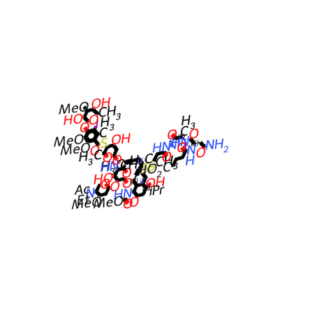 CC#C/C=C\C#C[C@H](OC1OC(C)C(NOC2CC(O)C(SC(=O)c3c(C)c(I)c(OC4OC(C)C(O)C(OC)C4O)c(OC)c3OC)C(C)O2)C(O)C1OC1CC(OC)C(N(CC)C(C)=O)CO1)C1/C(=C\CSSC(C)(C)CC(=O)NNC(=O)[C@H](C)NC(=O)[C@H](CC(N)=O)NC(=O)CCCC(=O)O)[C@](O)(C(C)C)CC(=O)C1NC(=O)OC